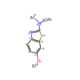 CCOc1ccc2nc(N(OC(C)=O)C(C)=O)sc2c1